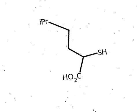 CC(C)CCC(S)C(=O)O